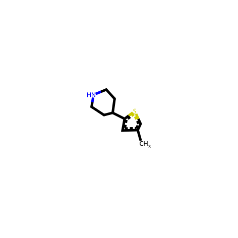 Cc1csc(C2CCNCC2)c1